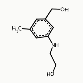 Cc1cc(CO)cc(NCCO)c1